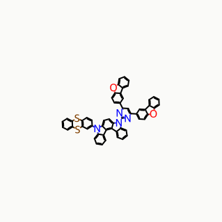 c1ccc2c(c1)Sc1ccc(-n3c4ccccc4c4c5c6ccccc6n(-c6nc(-c7ccc8oc9ccccc9c8c7)cc(-c7ccc8oc9ccccc9c8c7)n6)c5ccc43)cc1S2